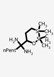 CCCCCC(N)(N)C1CC[Si](C)(C)[Si](C)(C)O1